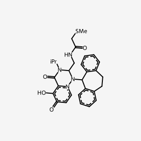 CSCC(=O)NCC1N(C(C)C)C(=O)c2c(O)c(=O)ccn2N1C1c2ccccc2CCc2ccccc21